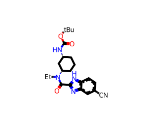 CCN(C(=O)c1nc2cc(C#N)ccc2[nH]1)[C@H]1CCC[C@@H](NC(=O)OC(C)(C)C)C1